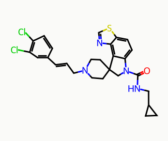 O=C(NCC1CC1)N1CC2(CCN(C/C=C/c3ccc(Cl)c(Cl)c3)CC2)c2c1ccc1scnc21